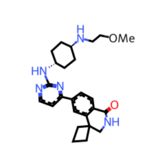 COCCN[C@H]1CC[C@H](Nc2nccc(-c3ccc4c(c3)C3(CCC3)CNC4=O)n2)CC1